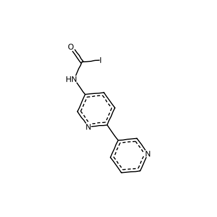 O=C(I)Nc1ccc(-c2cccnc2)nc1